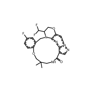 CC1(C)CNC(=O)c2cnn3cc4c(nc23)N(Cc2cc(F)ccc2OC1)C(C(F)F)CO4